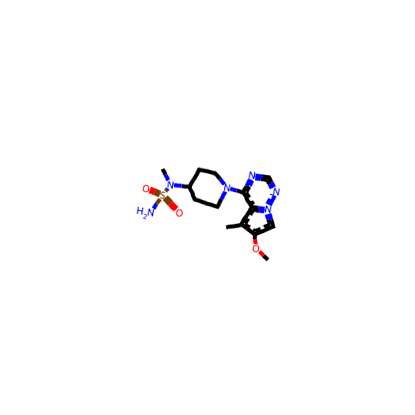 COc1cn2ncnc(N3CCC(N(C)S(N)(=O)=O)CC3)c2c1C